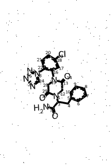 NC(=O)C(Cc1ccccc1)N1CC(=O)N(c2cc(Cl)ccc2-n2cnnn2)CC1=O